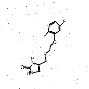 O=c1[nH]cc(CSCCOc2cc(F)ccc2F)[nH]1